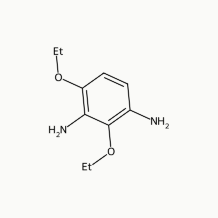 CCOc1ccc(N)c(OCC)c1N